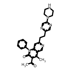 CC(=O)c1c(C)c2cnc(CCc3cnc(N4CCNCC4)cn3)cc2n(-c2ccccc2)c1=O